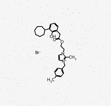 Cc1ccc(C[n+]2ccn(CCOC(=O)Cc3cccc(C4CCCCCC4)c3O)c2C)cc1.[Br-]